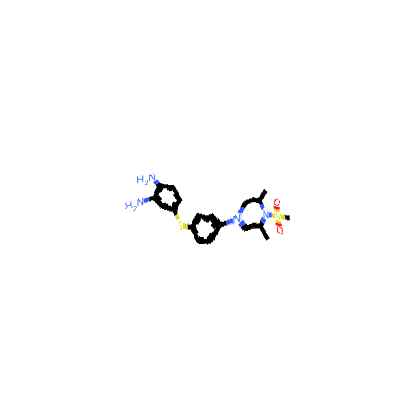 CC1CN(c2ccc(Sc3ccc(N)c(N)c3)cc2)CC(C)N1S(C)(=O)=O